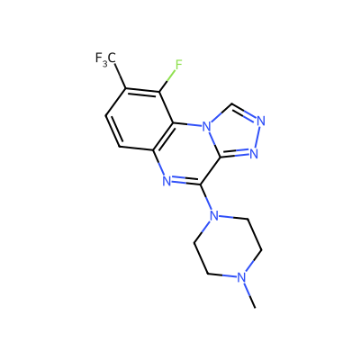 CN1CCN(c2nc3ccc(C(F)(F)F)c(F)c3n3cnnc23)CC1